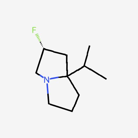 CC(C)C12CCCN1C[C@H](F)C2